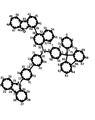 c1ccc(C2(c3ccc(N(c4ccc(-c5ccc(-n6c7ccccc7c7ccccc76)cc5)cc4)c4ccc(-c5cccc6c5sc5ccccc56)c5ccccc45)cc3)c3ccccc3-c3ccccc32)cc1